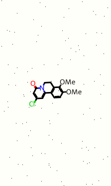 COc1ccc2c(c1OC)CCn1c-2cc(Cl)cc1=O